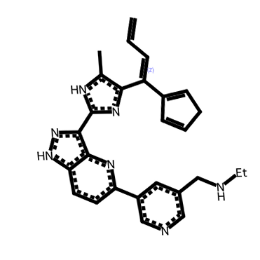 C=C/C=C(/C1=CCC=C1)c1nc(-c2n[nH]c3ccc(-c4cncc(CNCC)c4)nc23)[nH]c1C